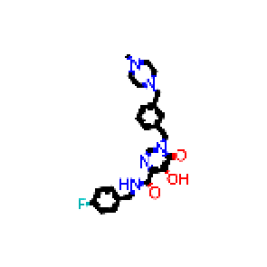 CN1CCN(Cc2cccc(Cn3cnc(C(=O)NCc4ccc(F)cc4)c(O)c3=O)c2)CC1